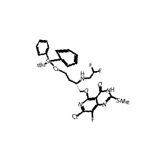 CSc1nc2c(F)c(Cl)nc(OC[C@H](CCO[Si](c3ccccc3)(c3ccccc3)C(C)(C)C)NCC(F)F)c2c(=O)[nH]1